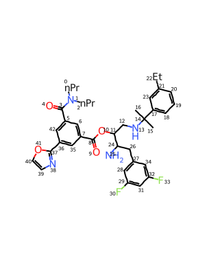 CCCN(CCC)C(=O)c1cc(C(=O)OC(CNC(C)(C)c2cccc(CC)c2)C(N)Cc2cc(F)cc(F)c2)cc(-c2ncco2)c1